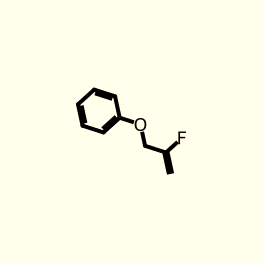 C=C(F)COc1ccccc1